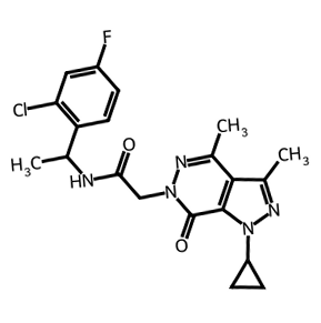 Cc1nn(CC(=O)NC(C)c2ccc(F)cc2Cl)c(=O)c2c1c(C)nn2C1CC1